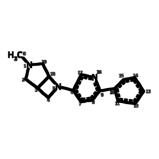 CN1CC2CN(c3ccc(-c4ccccc4)nc3)C2C1